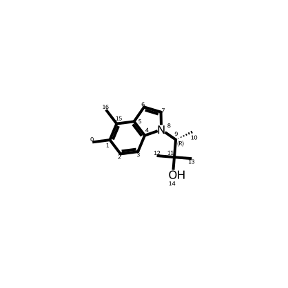 Cc1ccc2c(ccn2[C@H](C)C(C)(C)O)c1C